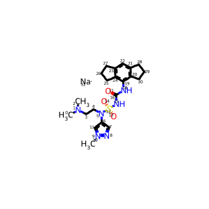 CN(C)CCN(c1cnn(C)c1)S(=O)(=O)NC(=O)Nc1c2c(cc3c1CCC3)CCC2.[Na]